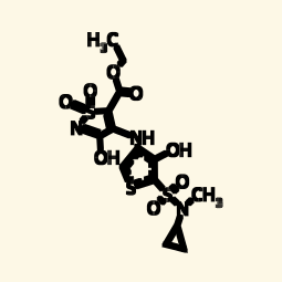 CCOC(=O)C1=C(Nc2csc(S(=O)(=O)N(C)C3CC3)c2O)C(O)=NS1(=O)=O